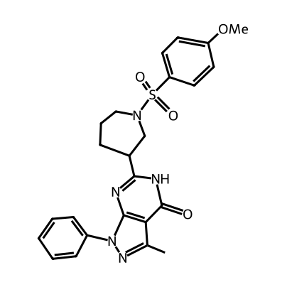 COc1ccc(S(=O)(=O)N2CCCC(c3nc4c(c(C)nn4-c4ccccc4)c(=O)[nH]3)C2)cc1